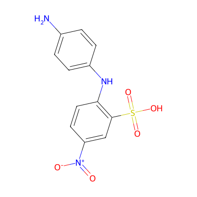 Nc1ccc(Nc2ccc([N+](=O)[O-])cc2S(=O)(=O)O)cc1